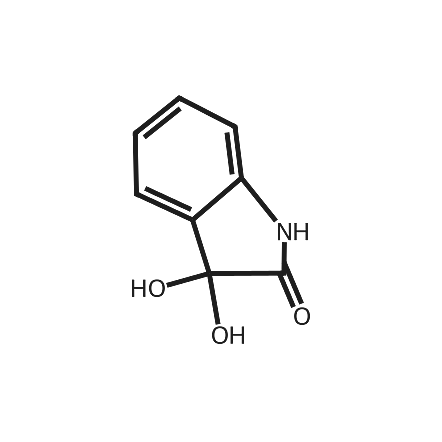 O=C1Nc2ccccc2C1(O)O